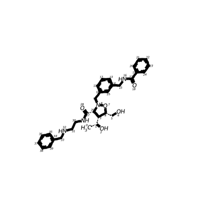 C[C@@H](O)[C@H]1[C@@H](CO)ON(Cc2cccc(CNC(=O)c3ccccc3)c2)[C@H]1C(=O)NCCNCc1ccccc1